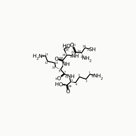 NCCCC[C@H](NC(=O)[C@H](CCCCN)NC(=O)[C@@H](CO)NC(=O)[C@@H](N)CS)C(=O)O